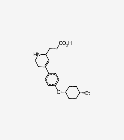 CC[C@H]1CC[C@H](Oc2ccc(C3=CC(CCC(=O)O)NCC3)cc2)CC1